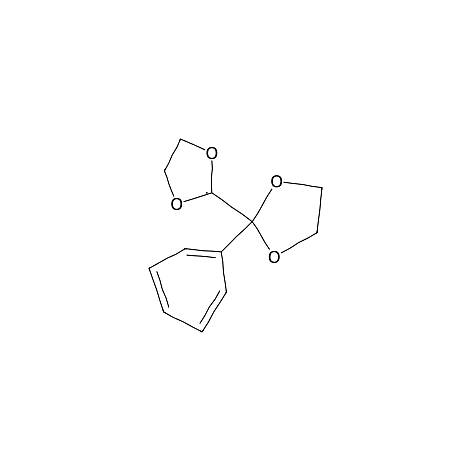 c1ccc(C2([C]3OCCO3)OCCO2)cc1